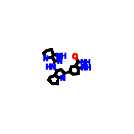 O=c1[nH][nH]c2ccc(-c3cc(Nc4n[nH]c5cccnc45)c4ccccc4n3)cc12